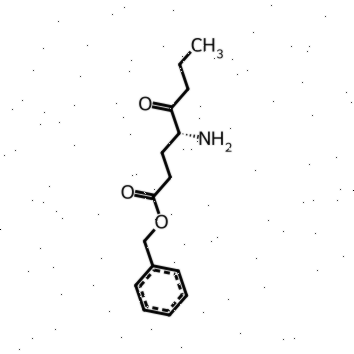 CCCC(=O)[C@H](N)CCC(=O)OCc1ccccc1